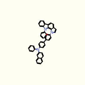 c1ccc(N(c2ccc(-c3ccc(-n4ccc5ccc6c7ccccc7n(-c7ccccc7)c6c54)cc3)cc2)c2ccc3ccccc3c2)cc1